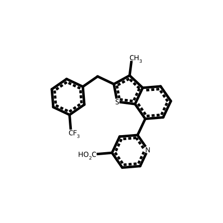 Cc1c(Cc2cccc(C(F)(F)F)c2)sc2c(-c3cc(C(=O)O)ccn3)cccc12